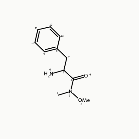 CON(C)C(=O)C(N)Cc1ccccc1